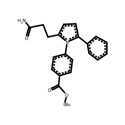 CC(C)(C)OC(=O)c1ccc(-n2c(CCC(N)=O)ccc2-c2ccccc2)cc1